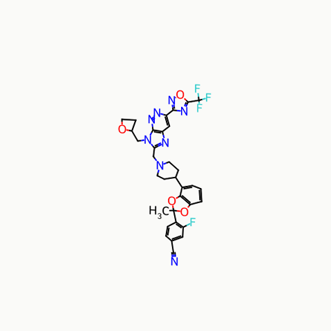 CC1(c2ccc(C#N)cc2F)Oc2cccc(C3CCN(Cc4nc5cc(-c6noc(C(F)(F)F)n6)nnc5n4CC4CCO4)CC3)c2O1